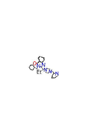 CCC(c1nc2ccccc2c(=O)n1Cc1ccccc1)N1CCN(Cc2ccccn2)CC1